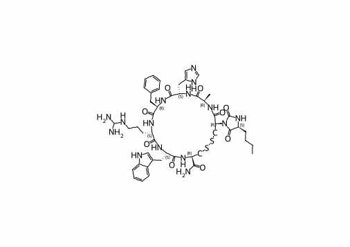 CCCC[C@@H]1NC(=O)N([C@H]2CSSC[C@@H](C(N)=O)NC(=O)[C@H](Cc3c[nH]c4ccccc34)NC(=O)[C@H](CCCNC(N)N)NC(=O)[C@@H](Cc3ccccc3)NC(=O)[C@H](Cc3cnc[nH]3)NC(=O)[C@@H](C)NC2=O)C1=O